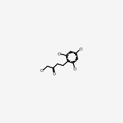 O=C(CCl)CCc1c(Cl)cc(Cl)cc1Cl